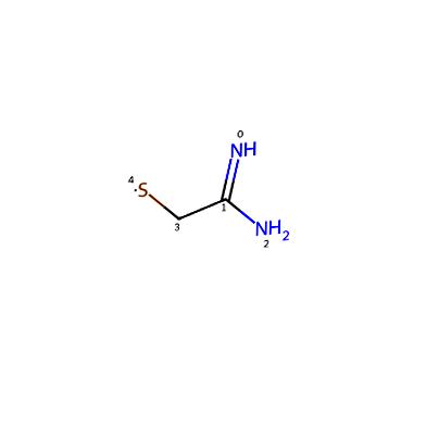 N=C(N)C[S]